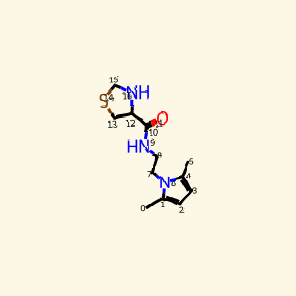 Cc1ccc(C)n1CCNC(=O)C1CSCN1